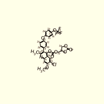 COc1cc2nc(C)c(-c3ccc(Oc4ccc(OC(F)(F)F)cc4)cc3)c(OC(=O)OCC3COC(=O)O3)c2cc1Cl